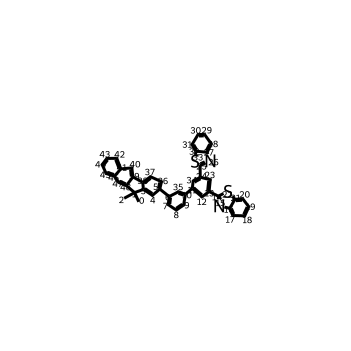 CC1(C)c2cc(-c3cccc(-c4cc(-c5nc6ccccc6s5)cc(-c5nc6ccccc6s5)c4)c3)ccc2-c2cc3ccccc3cc21